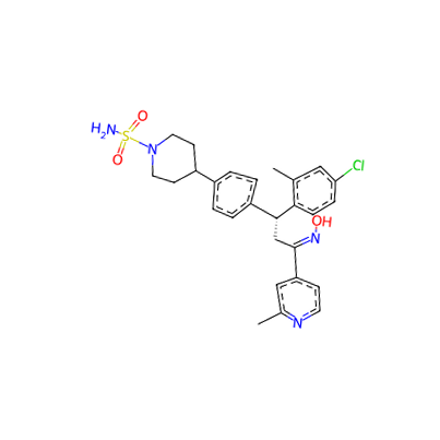 Cc1cc(/C(C[C@H](c2ccc(C3CCN(S(N)(=O)=O)CC3)cc2)c2ccc(Cl)cc2C)=N/O)ccn1